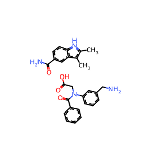 Cc1[nH]c2ccc(C(N)=O)cc2c1C.NCc1cccc(N(CC(=O)O)C(=O)c2ccccc2)c1